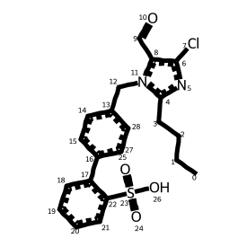 CCCCc1nc(Cl)c(C=O)n1Cc1ccc(-c2ccccc2S(=O)(=O)O)cc1